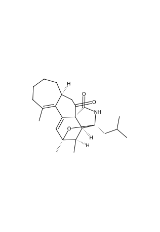 CC1=C2C3=C[C@@]4(C)O[C@@]5(CC(C)C)NC(=O)[C@]3(C(=O)C[C@@H]2CCCC1)[C@@H]5[C@H]4C